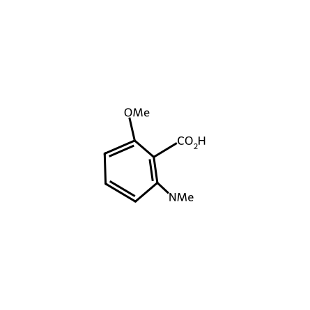 CNc1cccc(OC)c1C(=O)O